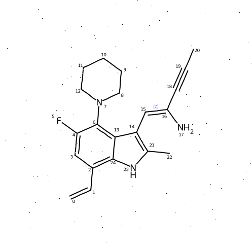 C=Cc1cc(F)c(N2CCCCC2)c2c(/C=C(\N)C#CC)c(C)[nH]c12